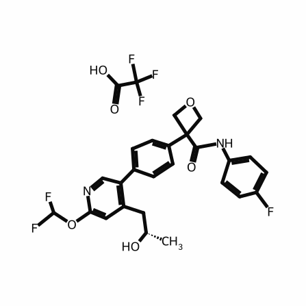 C[C@H](O)Cc1cc(OC(F)F)ncc1-c1ccc(C2(C(=O)Nc3ccc(F)cc3)COC2)cc1.O=C(O)C(F)(F)F